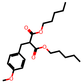 CCCCCOC(=O)C(Cc1ccc(OC)cc1)C(=O)OCCCCC